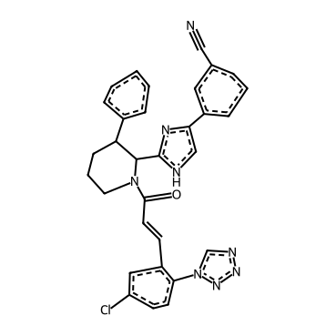 N#Cc1cccc(-c2c[nH]c(C3C(c4ccccc4)CCCN3C(=O)C=Cc3cc(Cl)ccc3-n3cnnn3)n2)c1